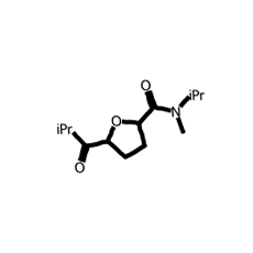 CC(C)C(=O)C1CCC(C(=O)N(C)C(C)C)O1